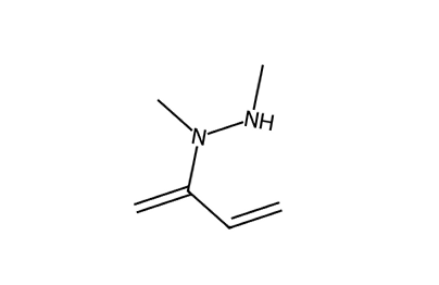 C=CC(=C)N(C)NC